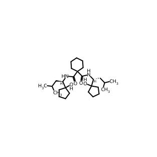 CC(C)C[C@@H](NC(=O)C1(C(=O)N[C@H](CC(C)C)C2(O)CCCC2)CCCCC1)C1(O)CCCC1